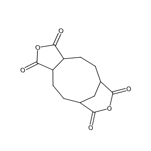 O=C1OC(=O)C2CCC3C(=O)OC(=O)C3CCC1C2